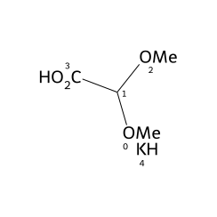 COC(OC)C(=O)O.[KH]